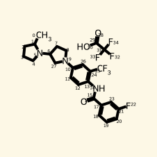 CC1CCCN1C1CCN(c2ccc(NC(=O)c3cccc(F)c3)c(C(F)(F)F)c2)C1.O=C(O)C(F)(F)F